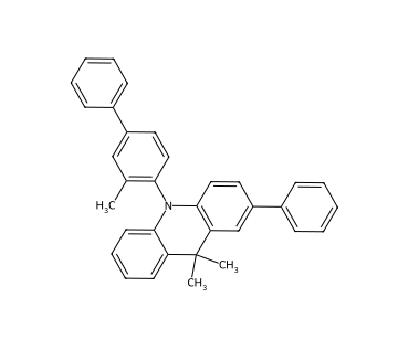 Cc1cc(-c2ccccc2)ccc1N1c2ccccc2C(C)(C)c2cc(-c3ccccc3)ccc21